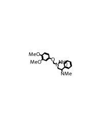 CNC(CN(N)COc1ccc(OC)c(OC)c1)c1ccccc1